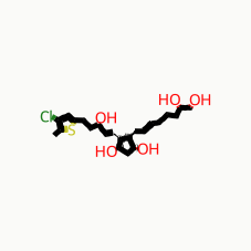 Cc1sc(CCC(O)C=C[C@@H]2[C@@H](CC=CCCCC(O)CO)[C@@H](O)C[C@H]2O)cc1Cl